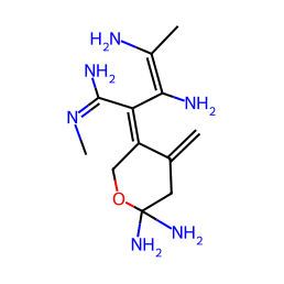 C=C1CC(N)(N)OC/C1=C(C(\N)=N/C)/C(N)=C(/C)N